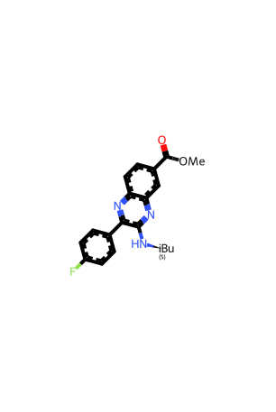 CC[C@H](C)Nc1nc2cc(C(=O)OC)ccc2nc1-c1ccc(F)cc1